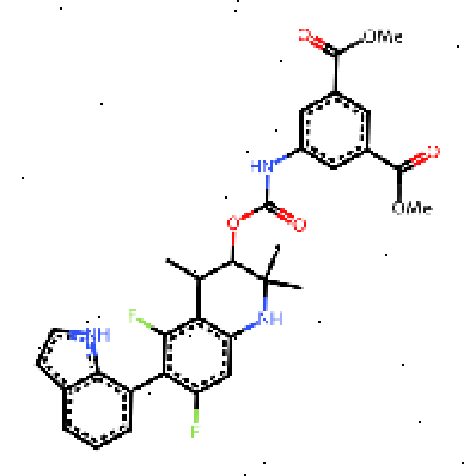 COC(=O)c1cc(NC(=O)OC2C(C)c3c(cc(F)c(-c4cccc5cc[nH]c45)c3F)NC2(C)C)cc(C(=O)OC)c1